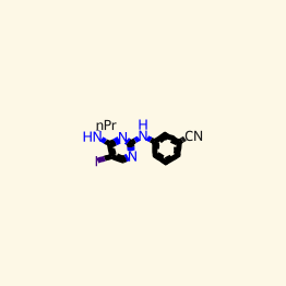 CCCNc1nc(Nc2cccc(C#N)c2)ncc1I